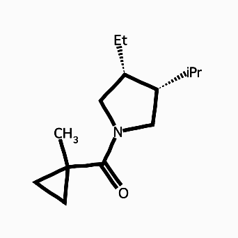 CC[C@H]1CN(C(=O)C2(C)CC2)C[C@H]1C(C)C